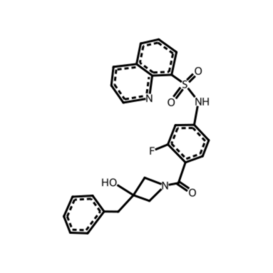 O=C(c1ccc(NS(=O)(=O)c2cccc3cccnc23)cc1F)N1CC(O)(Cc2ccccc2)C1